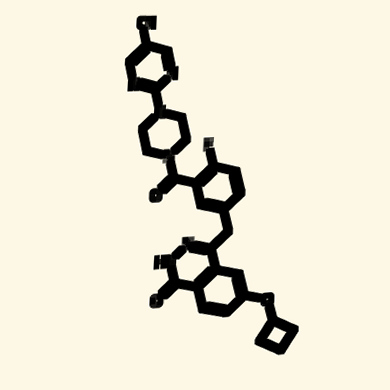 N#Cc1cnc(N2CCN(C(=O)c3cc(Cc4n[nH]c(=O)c5ccc(OC6CCC6)cc45)ccc3F)CC2)nc1